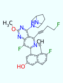 C#Cc1c(F)ccc2cc(O)cc(-c3nc(C#CCCF)c4c(N5CC6CCC(C5)N6)nc(OC)nc4c3F)c12